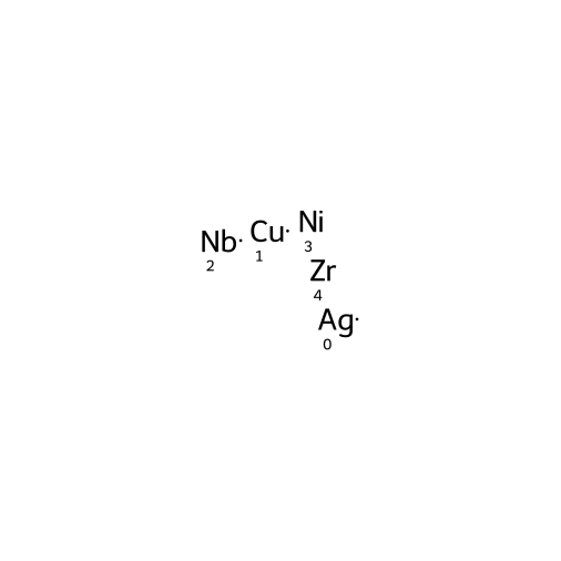 [Ag].[Cu].[Nb].[Ni].[Zr]